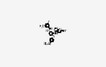 CC(C)c1ccc2c(Nc3cc(NC(=O)c4cc(F)cc(C(F)(F)F)c4)ccc3Oc3ccc([AsH2])cc3)ncnc2n1